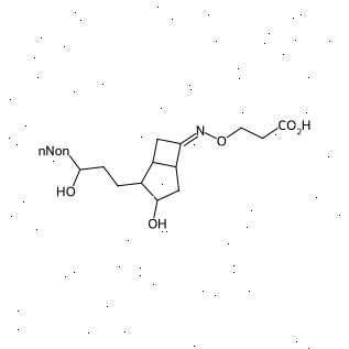 CCCCCCCCCC(O)CCC1C(O)CC2C(=NOCCC(=O)O)CC21